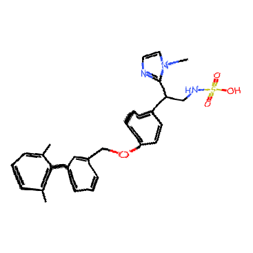 Cc1cccc(C)c1-c1cccc(COc2ccc(C(CNS(=O)(=O)O)c3nccn3C)cc2)c1